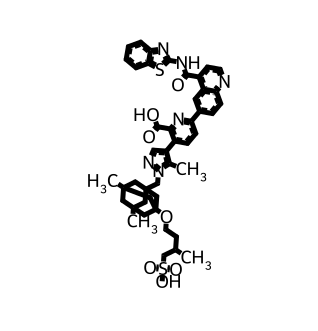 Cc1c(-c2ccc(-c3ccc4nccc(C(=O)Nc5nc6ccccc6s5)c4c3)nc2C(=O)O)cnn1CC12CC3(C)CC(C)(C1)CC(OCCC(C)CS(=O)(=O)O)(C3)C2